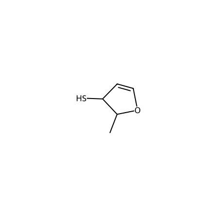 CC1OC=CC1S